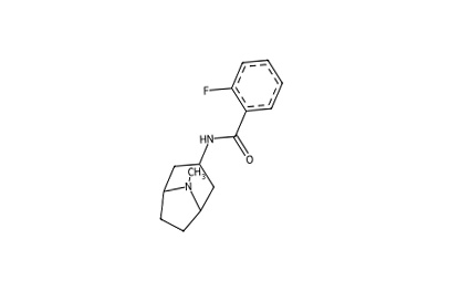 CN1C2CCC1CC(NC(=O)c1ccccc1F)C2